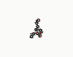 c1ccc2c(c1)sc1ccc(-c3ccc4c(c3)c3cccnc3n4-c3ccc4scc(-n5c6ccc(-c7ccc8sc9ccccc9c8c7)cc6c6cccnc65)c4c3)cc12